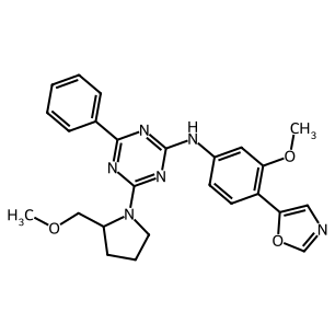 COCC1CCCN1c1nc(Nc2ccc(-c3cnco3)c(OC)c2)nc(-c2ccccc2)n1